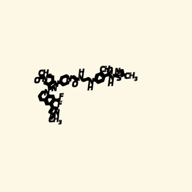 CC(=O)N1CCc2c(c(N3CCCc4cc(-c5cnn(C)c5)c(C(F)F)cc43)nn2C2CCN(CC(=O)NCCNc3ccc(C(=O)Nc4ncc(C)s4)c(C)c3)CC2)C1